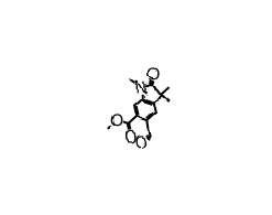 COC(=O)c1cc2c(cc1C=O)C(C)(C)C(=O)N2C